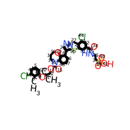 Cc1c(Cl)cccc1OC(C)(C)COC(=O)N1CCCOc2c(-c3cnn(Cc4c(F)cc(C(=O)NCCS(=O)(=O)O)cc4Cl)c3)cccc21